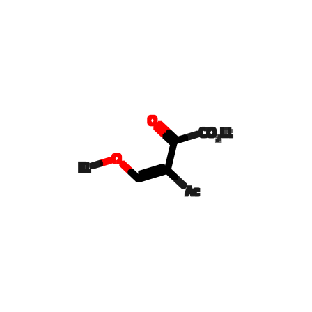 CCOC=C(C(C)=O)C(=O)C(=O)OCC